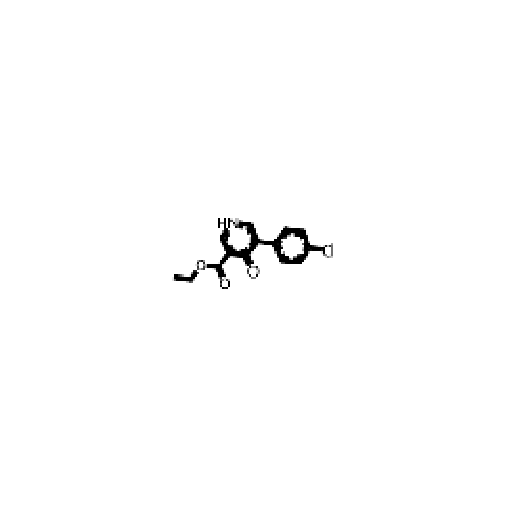 CCOC(=O)c1c[nH]cc(-c2ccc(Cl)cc2)c1=O